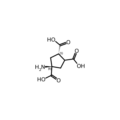 N[C@]1(C(=O)O)CC(C(=O)O)[C@@H](C(=O)O)C1